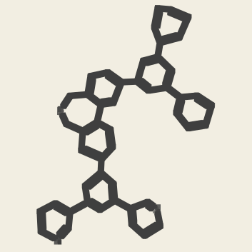 c1ccc(-c2cc(-c3ccccc3)cc(-c3ccc4c(c3)-c3ccc(-c5cc(-c6cccnc6)cc(-c6cccnc6)c5)cc3CSC4)c2)cc1